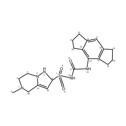 CN1CCN2NC(S(=O)(=O)NC(=O)Nc3c4c(cc5c3CCC5)CCC4)C=C2C1